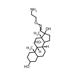 C[C@]12CCC(O)CC1CC[C@@H]1[C@H]2CC[C@]2(C)C(O)(/C=N/OCCN)CC[C@@]12O